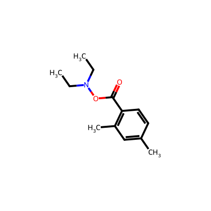 CCN(CC)OC(=O)c1ccc(C)cc1C